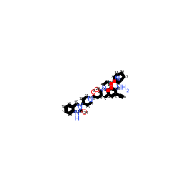 C#Cc1cc(C[C@@H](CC(=O)N2CCC(N3Cc4ccccc4NC3=O)CC2)C(=O)N2CCN(C3CC4CCC(C3)N4C)CC2)cc(Cl)c1N